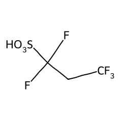 O=S(=O)(O)C(F)(F)CC(F)(F)F